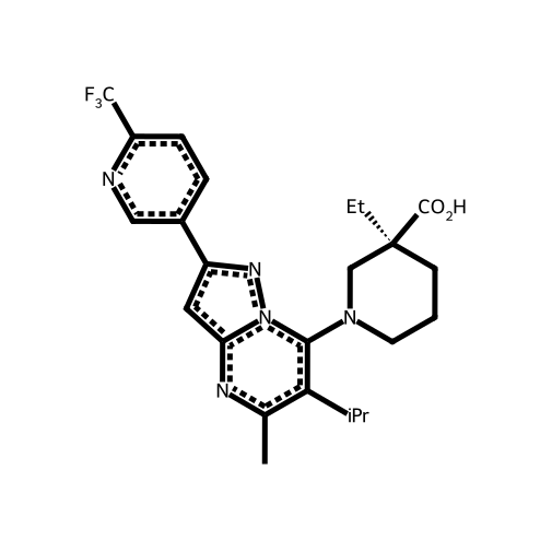 CC[C@]1(C(=O)O)CCCN(c2c(C(C)C)c(C)nc3cc(-c4ccc(C(F)(F)F)nc4)nn23)C1